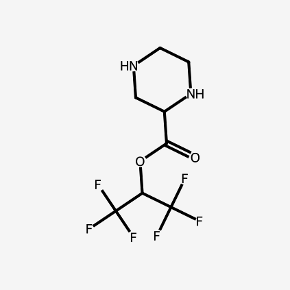 O=C(OC(C(F)(F)F)C(F)(F)F)C1CNCCN1